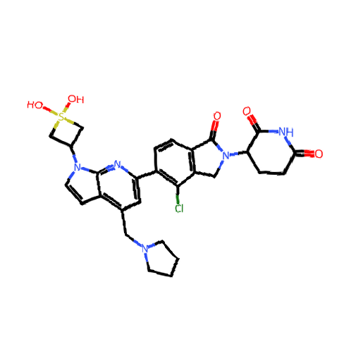 O=C1CCC(N2Cc3c(ccc(-c4cc(CN5CCCC5)c5ccn(C6CS(O)(O)C6)c5n4)c3Cl)C2=O)C(=O)N1